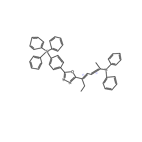 CC/C(=C\C=C(/C)N(c1ccccc1)c1ccccc1)c1nnc(-c2ccc([Si](c3ccccc3)(c3ccccc3)c3ccccc3)cc2)o1